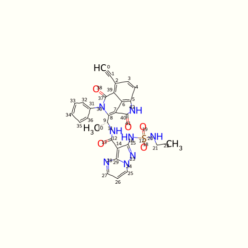 C#Cc1ccc2c3c(c([C@@H](C)NC(=O)c4c(NS(=O)(=O)NCC)nn5cccnc45)n(-c4ccccc4)c(=O)c13)C(=O)N2